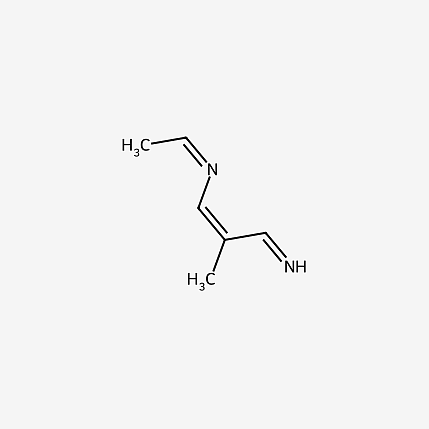 C/C=N\C=C(\C)C=N